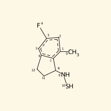 Cc1cc(F)cc2c1C(NS)CC2